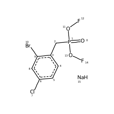 O=P(Cc1ccc(Cl)cc1Br)(OF)OF.[NaH]